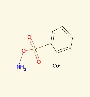 NOS(=O)(=O)c1ccccc1.[Co]